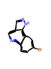 Brc1ccc2ncc3cn[nH]c3c2c1